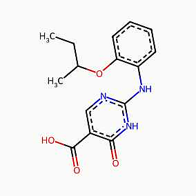 CCC(C)Oc1ccccc1Nc1ncc(C(=O)O)c(=O)[nH]1